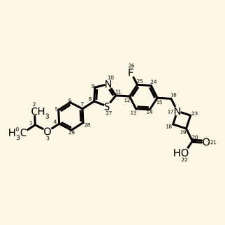 CC(C)Oc1ccc(-c2cnc(-c3ccc(CN4CC(C(=O)O)C4)cc3F)s2)cc1